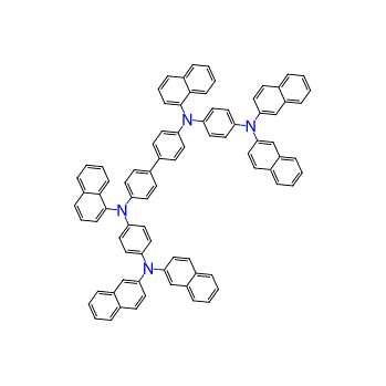 c1ccc2cc(N(c3ccc(N(c4ccc(-c5ccc(N(c6ccc(N(c7ccc8ccccc8c7)c7ccc8ccccc8c7)cc6)c6cccc7ccccc67)cc5)cc4)c4cccc5ccccc45)cc3)c3ccc4ccccc4c3)ccc2c1